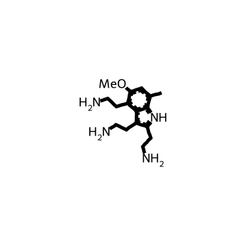 COc1cc(C)c2[nH]c(CCN)c(CCN)c2c1CCN